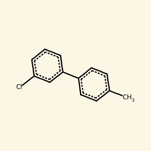 Cc1ccc(-c2cccc(Cl)c2)cc1